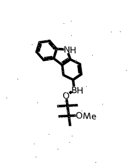 COC(C)(C)C(C)(C)OBC1C=Cc2[nH]c3ccccc3c2C1